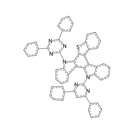 c1ccc(-c2cc(-c3ccccc3)nc(-n3c4ccccc4c4c5c6ccccc6sc5c5c(c6ccccc6n5-c5nc(-c6ccccc6)nc(-c6ccccc6)n5)c43)n2)cc1